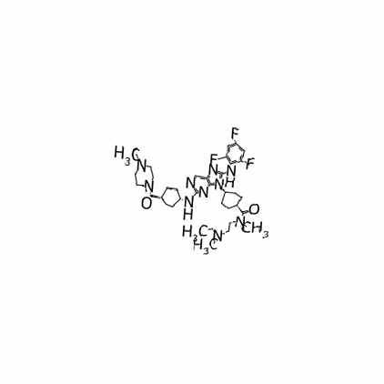 CCN(C)CCN(C)C(=O)[C@H]1CC[C@@H](n2c(Nc3c(F)cc(F)cc3F)nc3cnc(N[C@H]4CC[C@H](C(=O)N5CCN(C)CC5)CC4)nc32)CC1